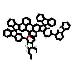 C=C/C=c1/oc2c(-c3ccc4c(c3)C3(c5ccccc5-4)c4ccccc4-c4c3cc3c5cccc6c7c(cc(c8cccc4c83)c65)C3(C(C)=C7/C=C\C(=C)c4cccc5c4oc4ccccc45)c4ccccc4-c4ccccc43)cccc2/c1=C/C